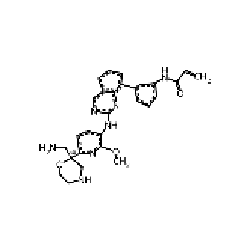 C=CC(=O)Nc1cccc(-c2cccc3cnc(Nc4ccc([C@]5(CN)CNCCO5)nc4OC)nc23)c1